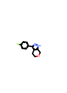 Fc1ccc(-c2n[nH]c3c2CCOC3)cc1